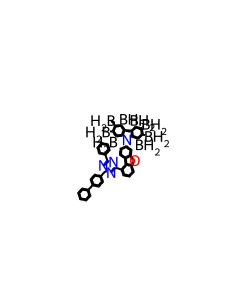 Bc1c(B)c(B)c2c(c1B)c1c(B)c(B)c(B)c(B)c1n2-c1ccc2c(c1)oc1cccc(-c3nc(-c4ccccc4)nc(-c4ccc(-c5ccccc5)cc4)n3)c12